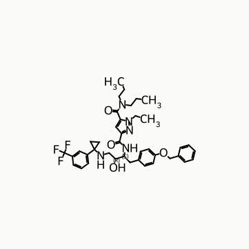 CCCN(CCC)C(=O)c1cc(C(=O)N[C@@H](Cc2ccc(OCc3ccccc3)cc2)[C@H](O)CNC2(c3cccc(C(F)(F)F)c3)CC2)nn1CC